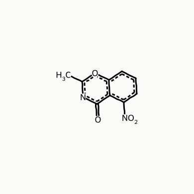 Cc1nc(=O)c2c([N+](=O)[O-])cccc2o1